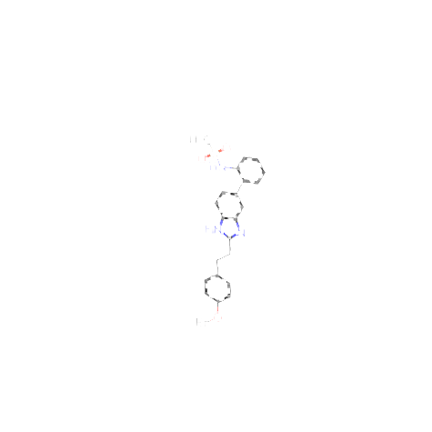 CCOc1ccc(CCc2nc3cc(-c4ccccc4NS(C)(=O)=O)ccc3[nH]2)cc1